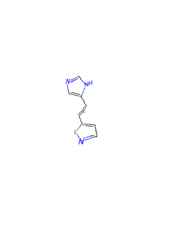 C(=C\c1ccns1)/c1cnc[nH]1